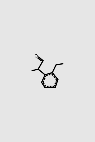 CCc1ccccc1C(C)C=O